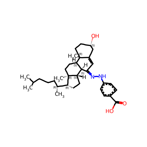 CC(C)CCC[C@@H](C)[C@H]1CC[C@H]2[C@@H]3C(=NNc4ccc(C(=O)O)cc4)C=C4C[C@@H](O)CC[C@]4(C)[C@H]3CC[C@]12C